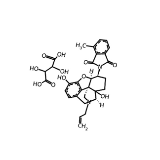 C=CCN1CC[C@]23c4c5ccc(O)c4O[C@H]2[C@@H](N2C(=O)c4cccc(C)c4C2=O)CCC3(O)[C@H]1C5.O=C(O)C(O)C(O)C(=O)O